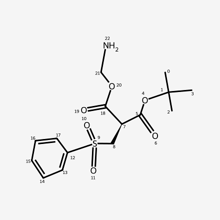 CC(C)(C)OC(=O)[C@@H](CS(=O)(=O)c1ccccc1)C(=O)OCN